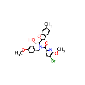 COc1ccc(CN(C(=O)c2ccc(Br)c(OC)n2)C(CO)c2cc3ccc(C)cc3o2)cc1